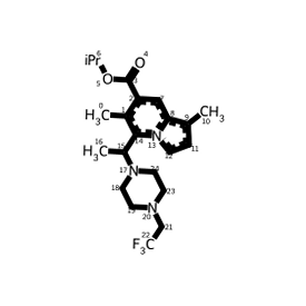 Cc1c(C(=O)OC(C)C)cc2c(C)ccn2c1C(C)N1CCN(CC(F)(F)F)CC1